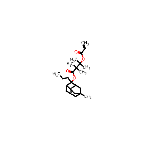 C=CC(=O)OC(C)(C)C(C)(C)C(=O)OC1(CCC)C2CC3CC1CC(C)(C3)C2